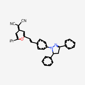 CC(C)C1=CC(=C(C#N)C#N)C=C(C=Cc2ccc(N3N=C(c4ccccc4)CC3c3ccccc3)cc2)O1